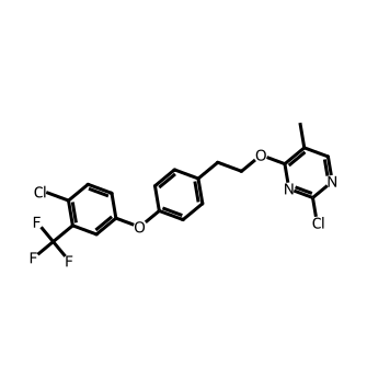 Cc1cnc(Cl)nc1OCCc1ccc(Oc2ccc(Cl)c(C(F)(F)F)c2)cc1